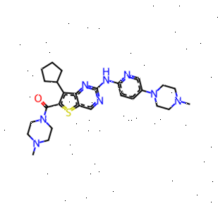 CN1CCN(C(=O)c2sc3cnc(Nc4ccc(N5CCN(C)CC5)cn4)nc3c2C2CCCC2)CC1